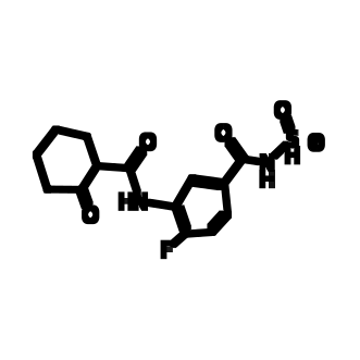 O=C(N[SH](=O)=O)c1ccc(F)c(NC(=O)C2CCCCC2=O)c1